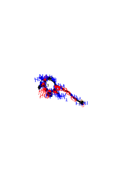 Cn1cc(C[C@H]2NC(=O)[C@@H](CO)NC(=O)[C@@H](Cc3ccc(O)cc3)NC(=O)[C@@H](CCCNC(=N)N)NC(=O)[C@@H](NC(=O)COCCOCCOCCNC(=O)CCCC[C@H]3SC[C@H]4NC(=O)N[C@H]43)Cc3cn(nn3)CCCC[C@@H](C(N)=O)NC(=O)[C@@H](CCCNC(=N)N)NC2=O)c2ccccc21